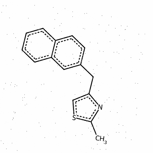 Cc1nc(Cc2ccc3ccccc3c2)cs1